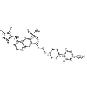 Cc1n[nH]c(Nc2ncnc3cc(OCCCN4CCN(c5ncc(C(=O)O)cn5)CC4)c(S(=O)(=O)C(C)(C)C)cc23)c1C